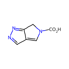 O=C(O)N1C=C2C=NN=C2C1